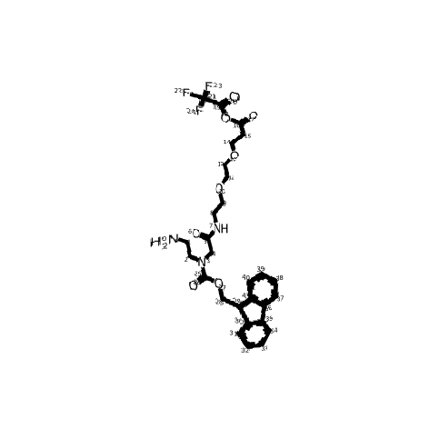 NCCN(CC(=O)NCCOCCOCCC(=O)OC(=O)C(F)(F)F)C(=O)OCC1c2ccccc2-c2ccccc21